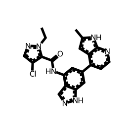 CCn1ncc(Cl)c1C(=O)Nc1cc(-c2ccnc3[nH]c(C)cc23)cc2[nH]ncc12